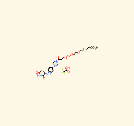 O=C(O)C(F)(F)F.O=C(O)CCOCCOCCOCCOCCC(=O)N1CCN(c2ccc(NC3CCC(=O)NC3=O)cc2)CC1